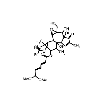 CCC(C)C(=O)OC12C(OC(=O)/C=C/C=C/C(OC)OC)C(C)C3(O)C(C4OC4(CO)C(O)C4(O)C(=O)C(C)=CC43)C1C2(C)C